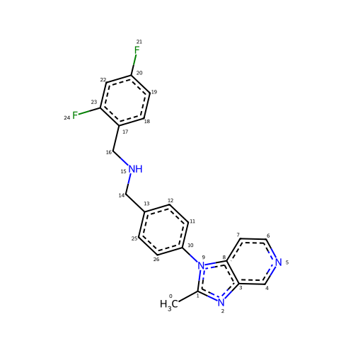 Cc1nc2cnccc2n1-c1ccc(CNCc2ccc(F)cc2F)cc1